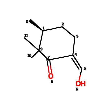 C[C@H]1CCC(=CO)C(=O)C1(C)C